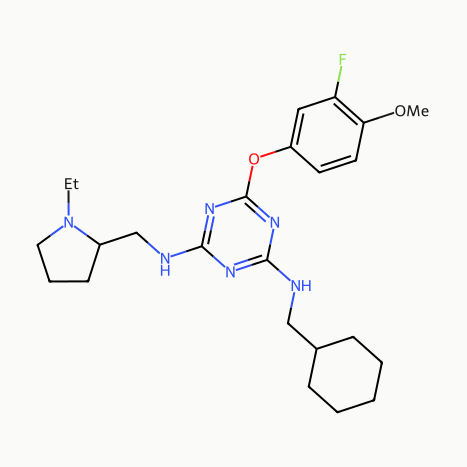 CCN1CCCC1CNc1nc(NCC2CCCCC2)nc(Oc2ccc(OC)c(F)c2)n1